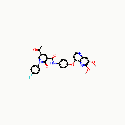 COc1cc2nccc(Oc3ccc(NC(=O)c4cc(C(C)=O)cn(-c5ccc(F)cc5)c4=O)cc3)c2nc1OC